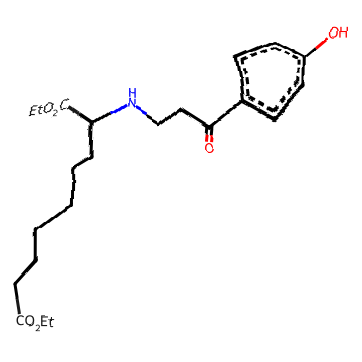 CCOC(=O)CCCCCCC(NCCC(=O)c1ccc(O)cc1)C(=O)OCC